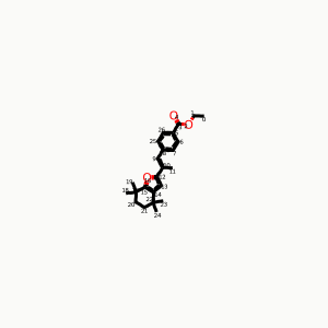 CCOC(=O)c1ccc(C=C(C)c2cc3c(o2)C(C)(C)CCC3(C)C)cc1